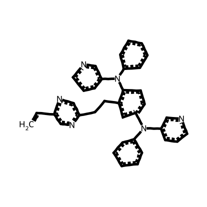 C=Cc1cnc(CCc2cc(N(c3ccccc3)c3cccnc3)ccc2N(c2ccccc2)c2cccnc2)cn1